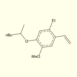 C=Cc1cc(OC)c(OC(C)CCCC)cc1CC